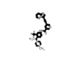 C[C@H](c1ccc(NC(=O)c2cncc(C#Cc3cnc4cccnn34)c2)cc1C(F)(F)F)N1CCN(C)CC1